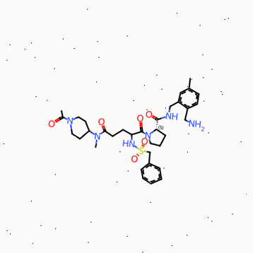 CC(=O)N1CCC(N(C)C(=O)CCC(NS(=O)(=O)Cc2ccccc2)C(=O)N2CCC[C@H]2C(=O)NCc2cc(C)ccc2CN)CC1